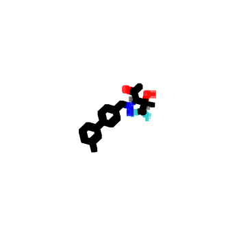 CC(=O)[C@@H](NCc1ccc(-c2cccc(C)c2)cc1)[C@](C)(O)C(F)F